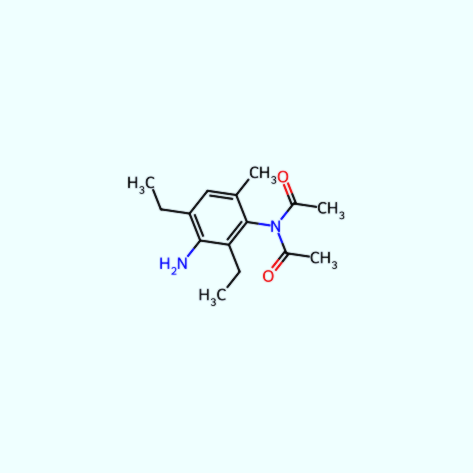 CCc1cc(C)c(N(C(C)=O)C(C)=O)c(CC)c1N